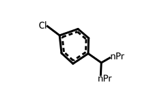 CCCC(CCC)c1ccc(Cl)cc1